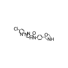 O=C(Nc1ccc(C2CNCCO2)cc1)c1ccn(-c2ccc(Cl)cn2)n1